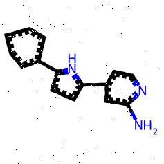 Nc1cc(-c2ccc(-c3ccccc3)[nH]2)ccn1